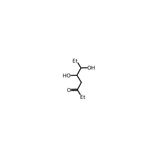 CCC(=O)CC(O)C(O)CC